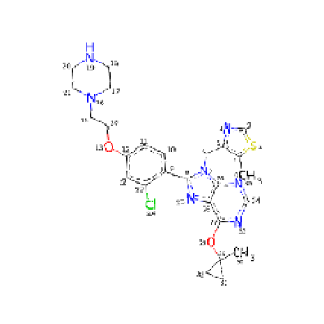 Cc1scnc1Cn1c(-c2ccc(OCCN3CCNCC3)cc2Cl)nc2c(OC3(C)CC3)ncnc21